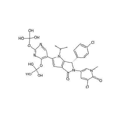 CC(C)n1c(-c2cnc(OC(O)(O)O)nc2OC(O)(O)O)cc2c1[C@H](c1ccc(Cl)cc1)N(c1cc(Cl)c(=O)n(C)c1)C2=O